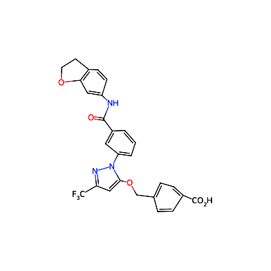 O=C(O)c1ccc(COc2cc(C(F)(F)F)nn2-c2cccc(C(=O)Nc3ccc4c(c3)OCC4)c2)cc1